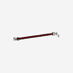 CC#CC#CC#CC#CC#CC#CC#CC#CC#CC#CC#CC#CC#CC#CC#CC#CC#CC#CC#CC#CC#CC#CC#CC#CC#CC#CC#CC#CC#CC#CC#CC#CC#CC#CC#CC#CC#CC#CC#CC#CC#CC#CC#CC#CC#CC#CC#CC#CC#CC#CC#CC#CC#CC#CC#CC#CC#N